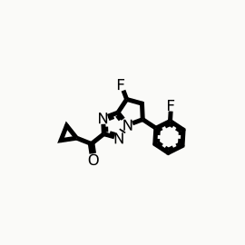 O=C(c1nc2n(n1)C(c1ccccc1F)CC2F)C1CC1